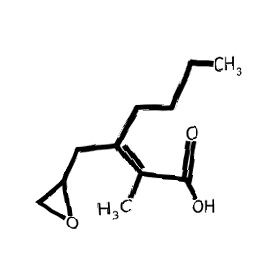 CCCCC(CC1CO1)=C(C)C(=O)O